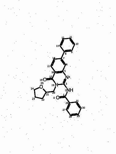 O=C(Nc1nc2cc(-c3ccccc3)ccc2c(=O)n1CC1CCCO1)c1ccccc1